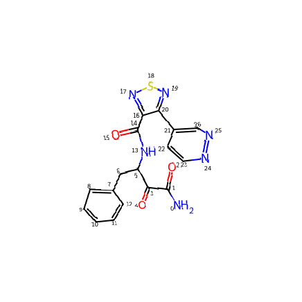 NC(=O)C(=O)C(Cc1ccccc1)NC(=O)c1nsnc1-c1ccnnc1